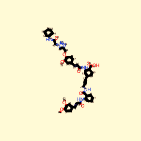 COc1ccc(/C=C/C(=O)Nc2ccccc2C(=O)NCC#Cc2ccc(C(=O)O)c(NC(=O)/C=C/c3ccc(OCc4cn(CC(=O)Nc5ccccc5)nn4)c(OC)c3)c2)cc1OC